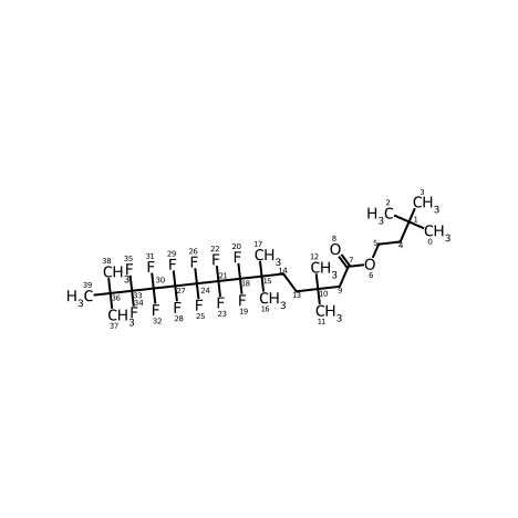 CC(C)(C)CCOC(=O)CC(C)(C)CCC(C)(C)C(F)(F)C(F)(F)C(F)(F)C(F)(F)C(F)(F)C(F)(F)C(C)(C)C